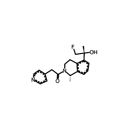 C[C@H]1c2cccc([C@@](C)(O)CF)c2CCN1C(=O)Cc1ccncc1